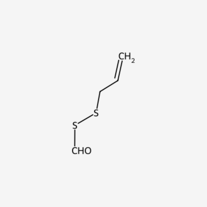 C=CCSSC=O